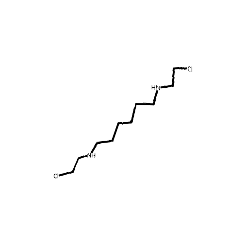 ClCCNCCCCCCNCCCl